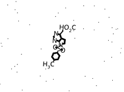 Cc1ccc(S(=O)(=O)n2ccc3c(CC(=O)O)ncnc32)cc1